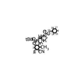 Cc1c([C@H]2CN3CCN(C(=O)OCc4ccccc4)C[C@H]3CN2C(=O)OC(C)(C)C)ccc(F)c1C#N